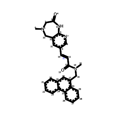 CN1CC(=O)Nc2ncc(/C=C/C(=O)N(C)Cc3cc4ccccc4c4ccccc34)cc2C1